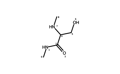 CNC(=O)C(CO)NC